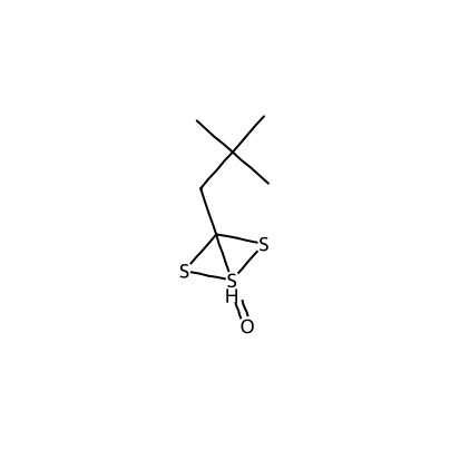 CC(C)(C)CC12S[SH]1(=O)S2